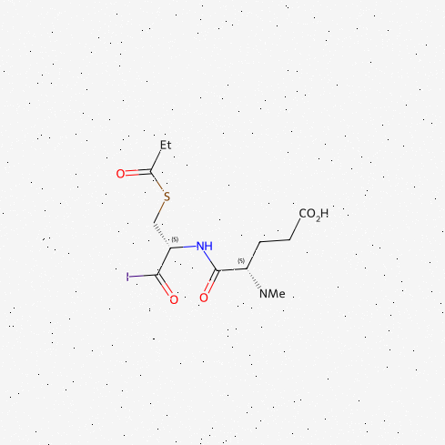 CCC(=O)SC[C@H](NC(=O)[C@H](CCC(=O)O)NC)C(=O)I